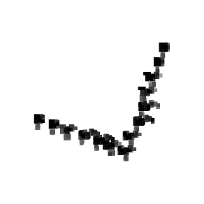 [Bi].[Bi].[Bi].[Bi].[Sb+3].[Sb+3].[Sb+3].[Sb+3].[Se-2].[Se-2].[Se-2].[Te-2].[Te-2].[Te-2]